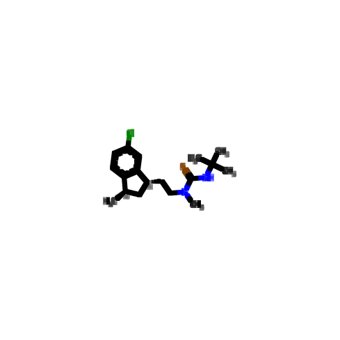 C[C@@H]1C[C@@H](CCN(C)C(=S)NC(C)(C)C)c2cc(Cl)ccc21